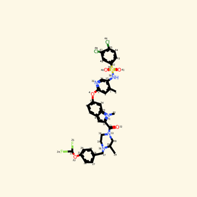 Cc1cc(Oc2ccc3cc(C(=O)N4CCN(Cc5ccc(OC(F)F)cc5)C(C)C4)n(C)c3c2)ncc1NS(=O)(=O)c1ccc(Cl)c(Cl)c1